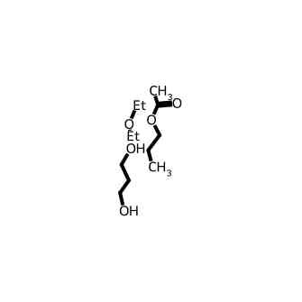 CCCOC(C)=O.CCOCC.OCCCO